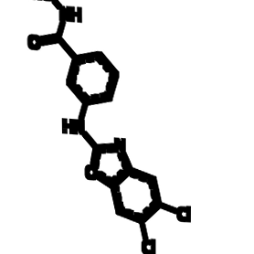 O=C(NO)c1cccc(Nc2nc3cc(Cl)c(Cl)cc3o2)c1